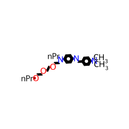 CCCOCCOCCOCCN(CCC)c1ccc(/N=C/c2ccc(N(C)C)cc2)cc1